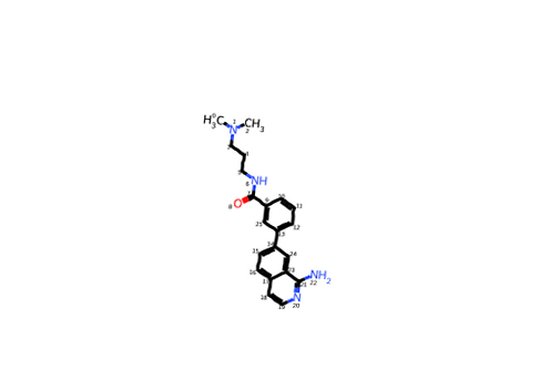 CN(C)CCCNC(=O)c1cccc(-c2ccc3ccnc(N)c3c2)c1